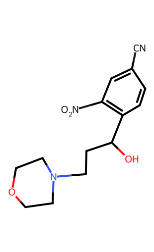 N#Cc1ccc(C(O)CCN2CCOCC2)c([N+](=O)[O-])c1